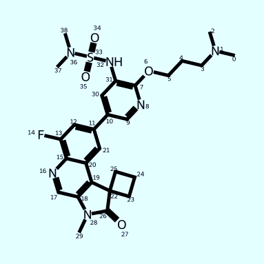 CN(C)CCCOc1ncc(-c2cc(F)c3ncc4c(c3c2)C2(CCC2)C(=O)N4C)cc1NS(=O)(=O)N(C)C